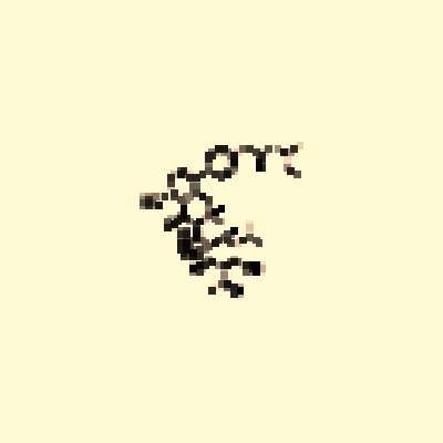 C=C(Cc1ccc(-c2ccc(O)c3c2C[C@]2(C)C[C@]4(C)C(C(C)C)C(O)=C(C(C)=O)C(=O)[C@]4(O)C(O)=C2C3=O)cc1)CC(C)CC